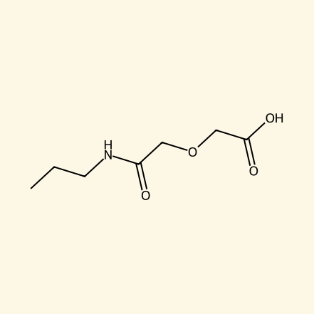 CCCNC(=O)COCC(=O)O